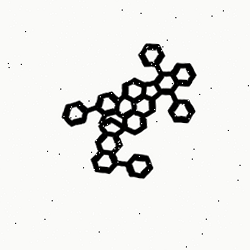 C1=C2c3cc4cccc(-c5ccccc5)c4cc3C13CC=c1cc4c5c(ccc6c7ccc(-c8ccccc8)c2c7c3c1c56)-c1c-4c(-c2ccccc2)c2ccccc2c1-c1ccccc1